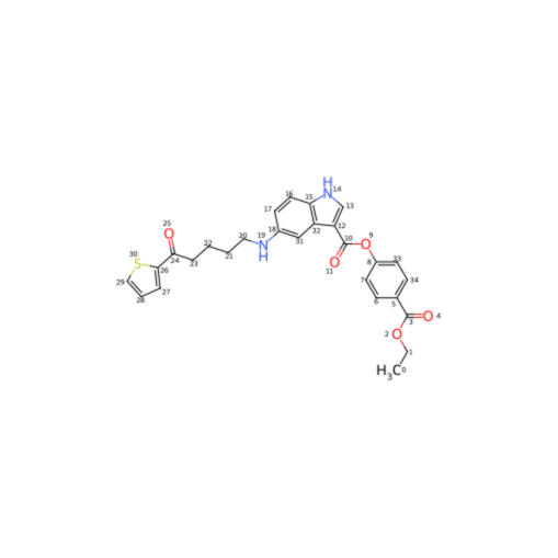 CCOC(=O)c1ccc(OC(=O)c2c[nH]c3ccc(NCCCCC(=O)c4cccs4)cc23)cc1